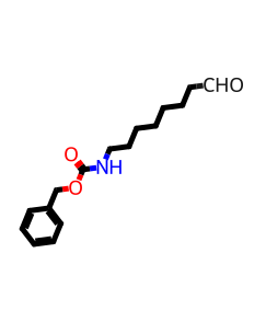 O=CCCCCCCCNC(=O)OCc1ccccc1